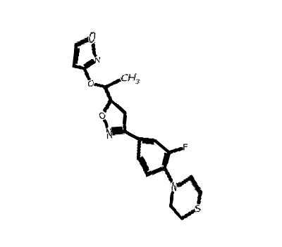 CC(Oc1ccon1)C1CC(c2ccc(N3CCSCC3)c(F)c2)=NO1